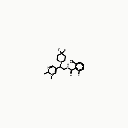 CC1N=CC(C(CNC(=O)c2c(F)cccc2Cl)N2CCC(F)(F)CC2)=CN1C